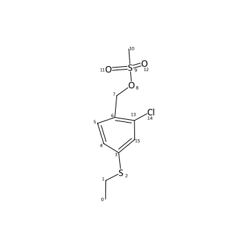 CCSc1ccc(COS(C)(=O)=O)c(Cl)c1